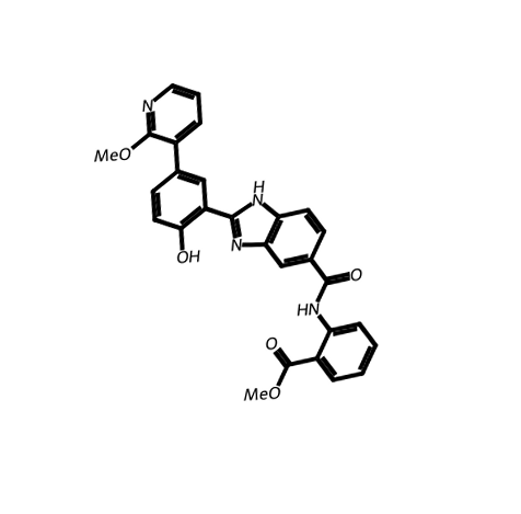 COC(=O)c1ccccc1NC(=O)c1ccc2[nH]c(-c3cc(-c4cccnc4OC)ccc3O)nc2c1